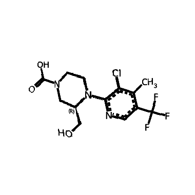 Cc1c(C(F)(F)F)cnc(N2CCN(C(=O)O)C[C@@H]2CO)c1Cl